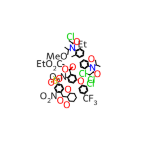 CC1COc2ccccc2N1C(=O)C(Cl)Cl.CCOC(=O)COC(=O)c1cc(Oc2ccc(C(F)(F)F)cc2Cl)ccc1[N+](=O)[O-].CCc1cccc(C)c1N(C(=O)CCl)C(C)COC.CS(=O)(=O)c1ccc(C(=O)C2C(=O)CCCC2=O)c([N+](=O)[O-])c1